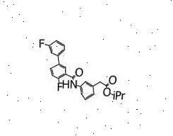 CC(C)OC(=O)Cc1cccc(NC(=O)c2cc(-c3cccc(F)c3)ccc2F)c1